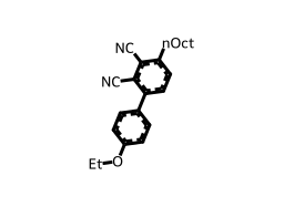 CCCCCCCCc1ccc(-c2ccc(OCC)cc2)c(C#N)c1C#N